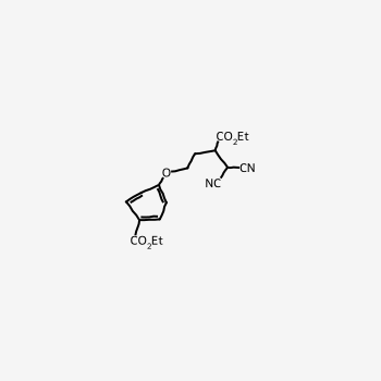 CCOC(=O)c1ccc(OCCC(C(=O)OCC)C(C#N)C#N)cc1